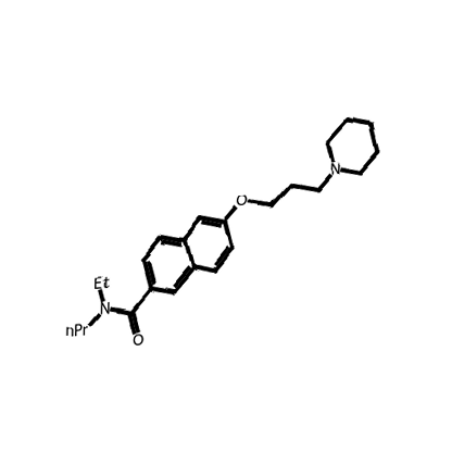 CCCN(CC)C(=O)c1ccc2cc(OCCCN3CCCCC3)ccc2c1